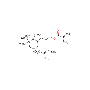 C=C(C)C(=O)OCCCC1CCC[Si](OC)(OC)C1(CCC)OC.CC=C(C)C(=O)O